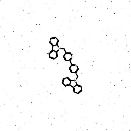 c1ccc2c(c1)c1ccccc1n2Cc1ccc(-c2ccc(Cn3c4ccccc4c4ccccc43)cn2)nc1